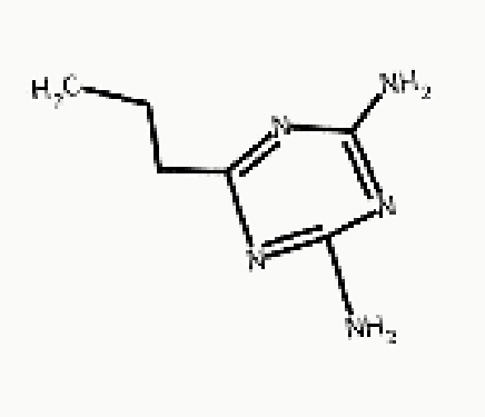 [CH2]CCc1nc(N)nc(N)n1